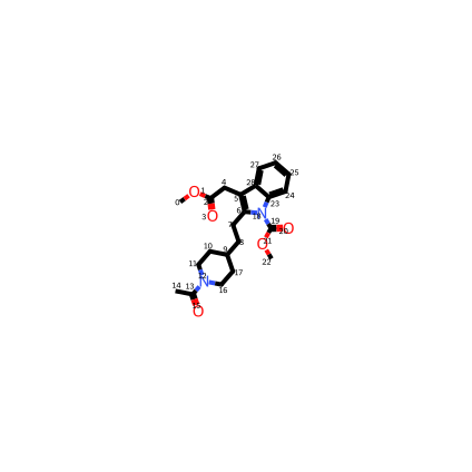 COC(=O)Cc1c(CCC2CCN(C(C)=O)CC2)n(C(=O)OC)c2ccccc12